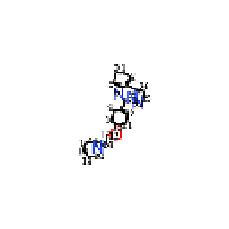 c1ccc2c(c1)nc(-c1ccc(OCCN3CCCCC3)cc1)n1nccc21